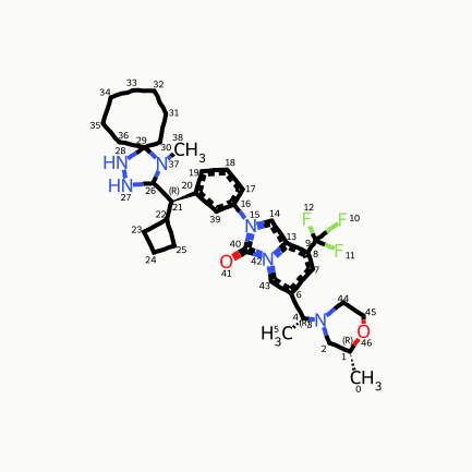 C[C@@H]1CN([C@H](C)c2cc(C(F)(F)F)c3cn(-c4cccc([C@@H](C5CCC5)C5NNC6(CCCCCCC6)N5C)c4)c(=O)n3c2)CCO1